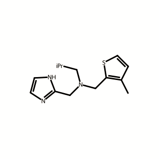 Cc1ccsc1CN(Cc1ncc[nH]1)CC(C)C